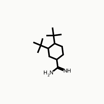 CC(C)(C)C1CCC(C(=N)N)CC1C(C)(C)C